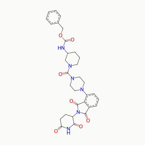 O=C1CCC(N2C(=O)c3cccc(N4CCN(C(=O)N5CCCC(NC(=O)OCc6ccccc6)C5)CC4)c3C2=O)C(=O)N1